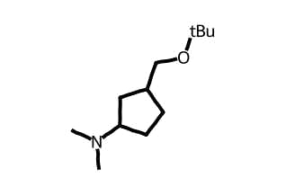 CN(C)C1CCC(COC(C)(C)C)C1